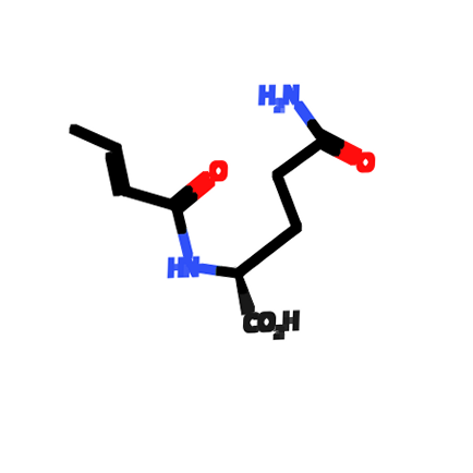 CC=CC(=O)N[C@@H](CCC(N)=O)C(=O)O